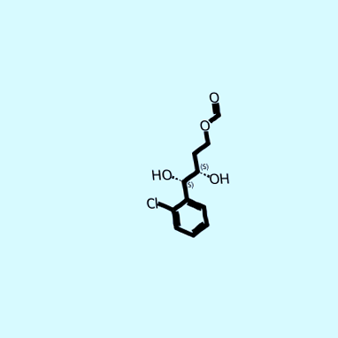 O=COCC[C@H](O)[C@@H](O)c1ccccc1Cl